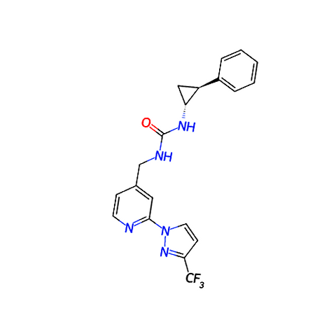 O=C(NCc1ccnc(-n2ccc(C(F)(F)F)n2)c1)N[C@@H]1C[C@H]1c1ccccc1